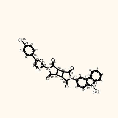 CCn1c2ccccc2c2cc(N3C(=O)C4C(C3=O)C3C(=O)N(c5nnc(-c6ccc(Cl)cc6)o5)C(=O)C43)ccc21